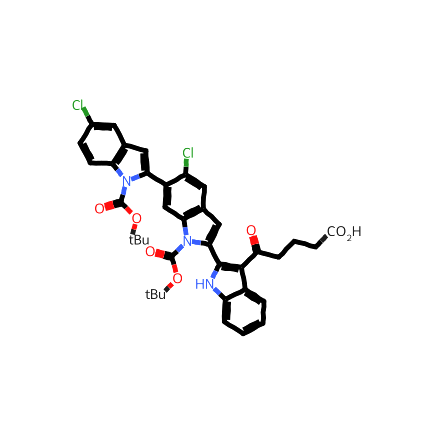 CC(C)(C)OC(=O)n1c(-c2cc3c(cc2Cl)cc(-c2[nH]c4ccccc4c2C(=O)CCCC(=O)O)n3C(=O)OC(C)(C)C)cc2cc(Cl)ccc21